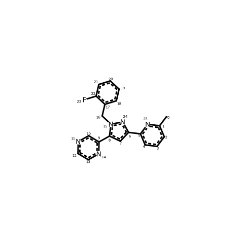 Cc1cccc(-c2cc(-c3cnccn3)n(Cc3ccccc3F)n2)n1